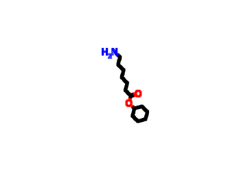 NCCCCCCC(=O)OC1CCCCC1